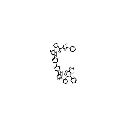 CN(C(=O)O)[C@@H](C(=O)N1CCC[C@H]1c1ncc(-c2ccc(-c3ccc(-c4cnc([C@@H]5CCCN5C(=O)c5csc(-c6ccccc6)n5)[nH]4)cc3)cc2)[nH]1)c1ccccc1